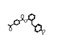 COc1ccc(Cc2ccccc2OC(=O)c2ccc(C(C)=O)cc2)cc1